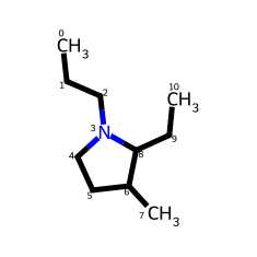 CCCN1CCC(C)C1CC